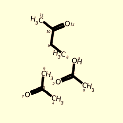 CC(=O)O.CC(C)=O.CCC(C)=O